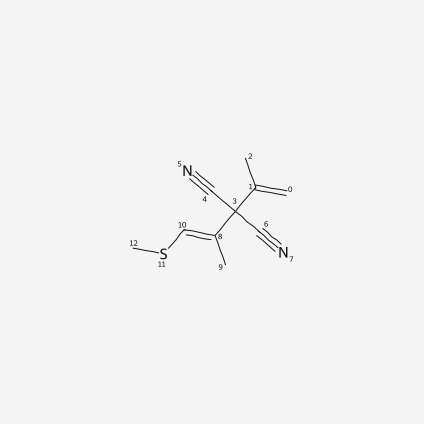 C=C(C)C(C#N)(C#N)/C(C)=C/SC